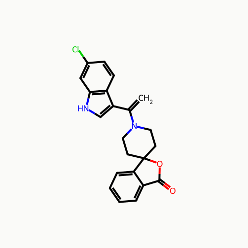 C=C(c1c[nH]c2cc(Cl)ccc12)N1CCC2(CC1)OC(=O)c1ccccc12